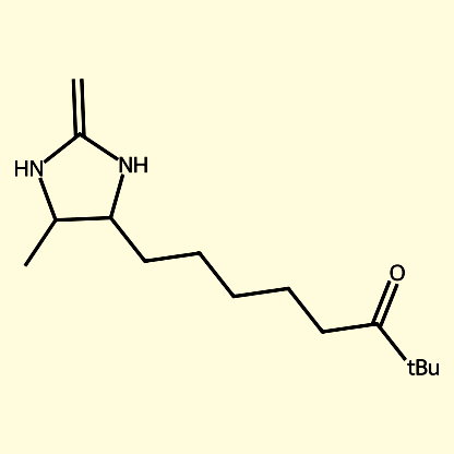 C=C1NC(C)C(CCCCCC(=O)C(C)(C)C)N1